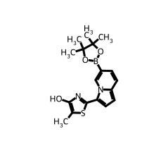 Cc1sc(-c2ccc3ccc(B4OC(C)(C)C(C)(C)O4)cn23)nc1O